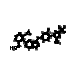 COc1ncnc(C2CC2)c1-c1ncc2cnn(Cc3ccc(-c4nc(C(F)(F)F)nn4C)c(F)c3)c2n1